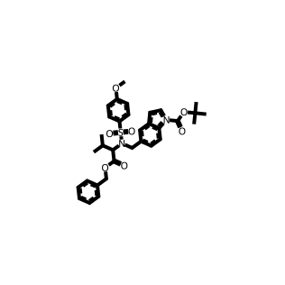 COc1ccc(S(=O)(=O)N(Cc2ccc3c(ccn3C(=O)OC(C)(C)C)c2)C(C(=O)OCc2ccccc2)C(C)C)cc1